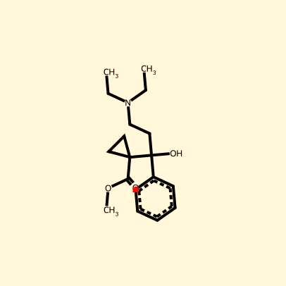 CCN(CC)CCC(O)(c1ccccc1)C1(C(=O)OC)CC1